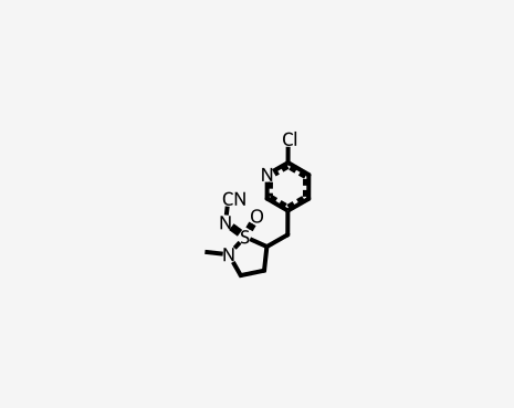 CN1CCC(Cc2ccc(Cl)nc2)S1(=O)=NC#N